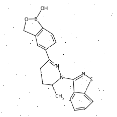 CC1CCC(c2ccc3c(c2)COB3O)=NN1c1nsc2ccccc12